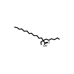 CCCCCCCCCCCCC(CC)(CCCCCC)C(=O)O